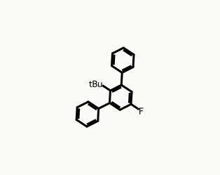 CC(C)(C)c1c(-c2ccccc2)cc(F)cc1-c1ccccc1